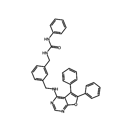 O=C(NCc1cccc(CNc2ncnc3oc(-c4ccccc4)c(-c4ccccc4)c23)c1)Nc1ccccc1